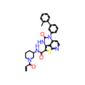 C=CC(=O)N1CCCC(NC(=O)c2sc3nccc4c3c2NC(=O)N4c2cccc(-c3ccccc3C)c2)C1